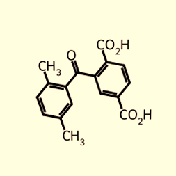 Cc1ccc(C)c(C(=O)c2cc(C(=O)O)ccc2C(=O)O)c1